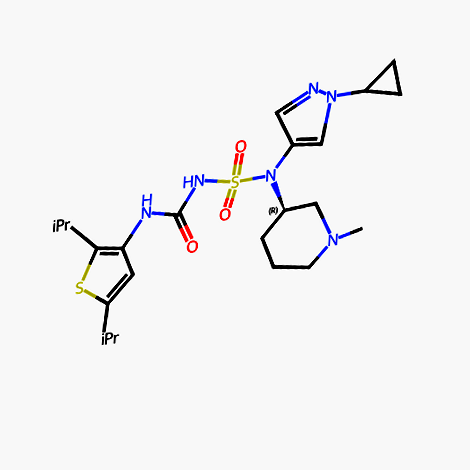 CC(C)c1cc(NC(=O)NS(=O)(=O)N(c2cnn(C3CC3)c2)[C@@H]2CCCN(C)C2)c(C(C)C)s1